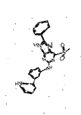 CS(=O)(=O)c1nc(Nc2cccc(-c3ccc[nH]3)c2)nc2[nH]c(-c3ccccc3)nc12